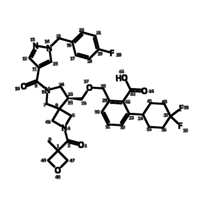 CC1(C(=O)N2CC3(CN(C(=O)c4cnn(Cc5ccc(F)cc5)c4)C[C@H]3COCc3cccc(C4CCC(F)(F)CC4)c3C(=O)O)C2)COC1